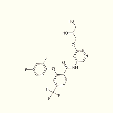 Cc1cc(F)ccc1Oc1cc(C(F)(F)F)ccc1C(=O)Nc1cnnc(OCC(O)CO)c1